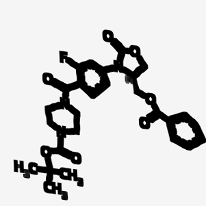 CC(C)(C)OC(=O)N1CCN(C(=O)c2ccc(N3C(=O)OC[C@H]3COC(=O)c3ccccc3)cc2F)CC1